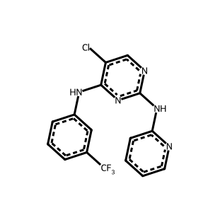 FC(F)(F)c1cccc(Nc2nc(Nc3ccccn3)ncc2Cl)c1